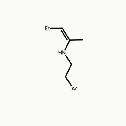 CCC=C(C)NCCC(C)=O